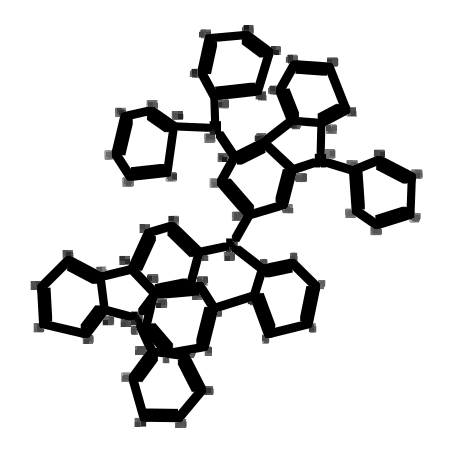 c1ccc(-c2ccccc2N(c2ccc3c4ccccc4n(-c4ccccc4)c3c2)c2cc(N(c3ccccc3)c3ccccc3)c3c4ccccc4n(-c4ccccc4)c3c2)cc1